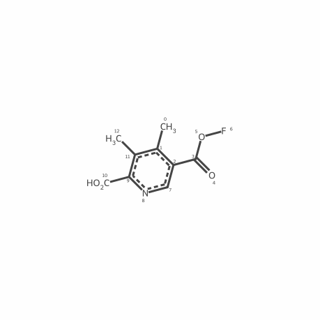 Cc1c(C(=O)OF)cnc(C(=O)O)c1C